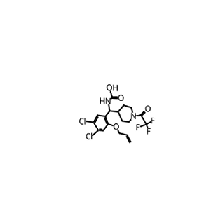 C=CCOc1cc(Cl)c(Cl)cc1C(NC(=O)O)C1CCN(C(=O)C(F)(F)F)CC1